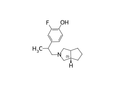 CC(CN1CC2CCC[C@@H]2C1)c1ccc(O)c(F)c1